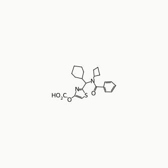 O=C(O)Oc1csc(C(C2CCCCC2)N(C(=O)c2ccccc2)C2CCC2)n1